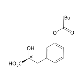 CC(C)(C)C(=O)Oc1cccc(C[C@H](O)C(=O)O)c1